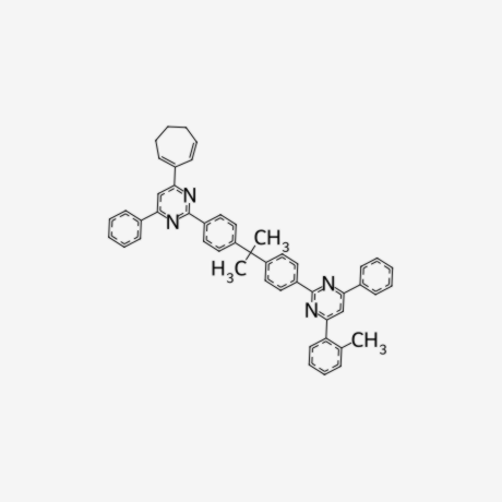 Cc1ccccc1-c1cc(-c2ccccc2)nc(-c2ccc(C(C)(C)c3ccc(-c4nc(C5=CCCCC=C5)cc(-c5ccccc5)n4)cc3)cc2)n1